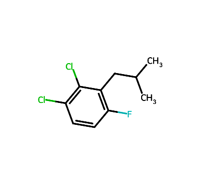 CC(C)Cc1c(F)ccc(Cl)c1Cl